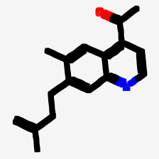 C=C(C)CCc1cc2nccc(C(C)=O)c2cc1C